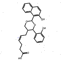 O=C(O)CC/C=C\CC1COC(c2c(O)ccc3ccccc23)OC1c1ccccc1O